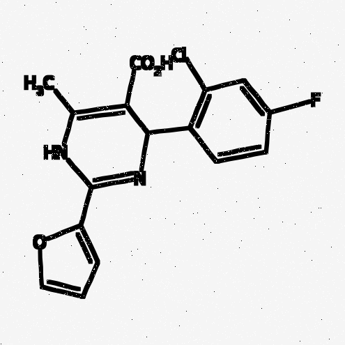 CC1=C(C(=O)O)C(c2ccc(F)cc2Cl)N=C(c2ccco2)N1